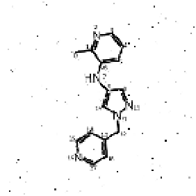 [CH2]c1ncccc1Nc1cnn(Cc2ccncc2)c1